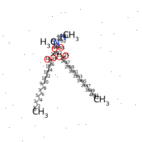 CCCCCCCCCCCCCCCCCC(=O)OCC(COC(=O)CCCCCCCCCCCCCCCCC)OC(=O)N(C)C1CN(C)C1